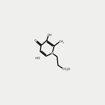 CCOC(=O)CCn1ccc(=O)c(O)c1C.Cl